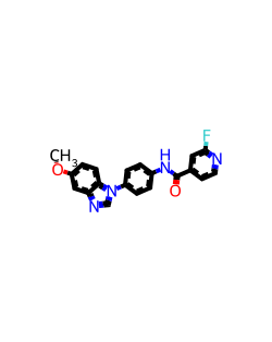 COc1ccc2c(c1)ncn2-c1ccc(NC(=O)c2ccnc(F)c2)cc1